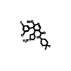 COc1ncc(C(=O)NC2CCC(F)(F)CC2)c(N2CC[C@H](N)C2)c1-c1cc(F)cc(Cl)c1